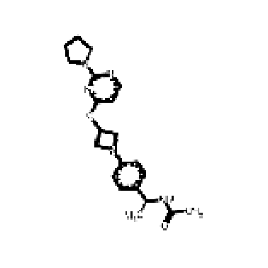 CC(=O)N[C@@H](C)c1ccc(N2CC(Oc3ccnc(N4CCCC4)n3)C2)cc1